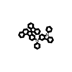 c1ccc(N(c2ccc3c(c2)C2(c4ccccc4-c4ccccc42)c2ccc4ccccc4c2-3)c2ccc3c(c2)c2ccccc2n3-c2ccccc2)cc1